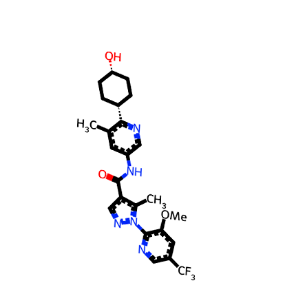 COc1cc(C(F)(F)F)cnc1-n1ncc(C(=O)Nc2cnc([C@H]3CC[C@@H](O)CC3)c(C)c2)c1C